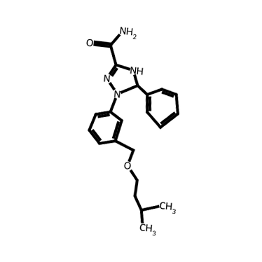 CC(C)CCOCc1cccc(N2N=C(C(N)=O)NC2c2ccccc2)c1